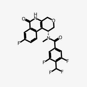 CN(C(=O)c1cc(F)c(C(F)F)c(F)c1)[C@H]1COCc2[nH]c(=O)c3cc(F)ccc3c21